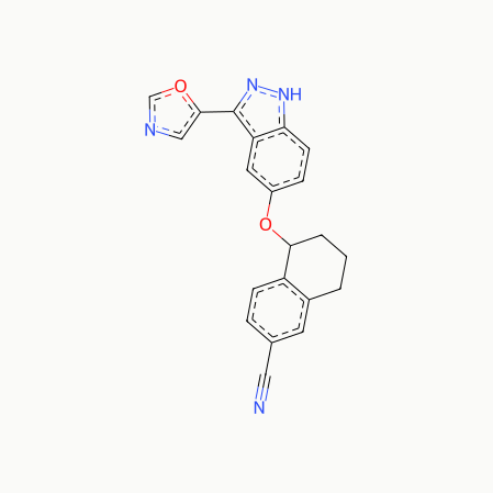 N#Cc1ccc2c(c1)CCCC2Oc1ccc2[nH]nc(-c3cnco3)c2c1